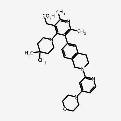 Cc1nc(C)c(-c2ccc3c(c2)CCN(c2cc(N4CCOCC4)ccn2)C3)c(N2CCC(C)(C)CC2)c1CC(=O)O